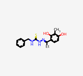 CC/C(=N\NC(=S)NCc1ccccc1)c1ccc(O)c(C)c1O